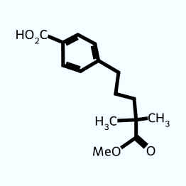 COC(=O)C(C)(C)CCCc1ccc(C(=O)O)cc1